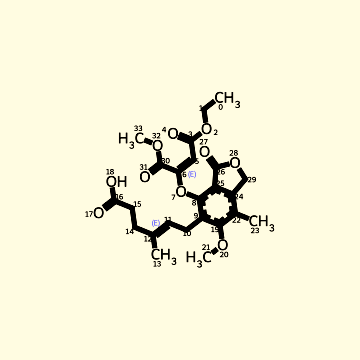 CCOC(=O)/C=C(/Oc1c(C/C=C(\C)CCC(=O)O)c(OC)c(C)c2c1C(=O)OC2)C(=O)OC